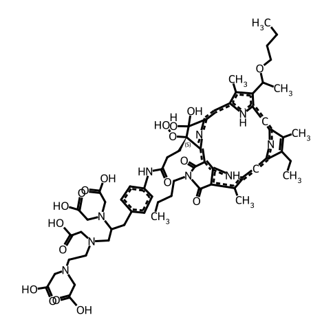 CCCCOC(C)c1c(C)c2cc3nc(c4c5[nH]c(cc6nc(cc1[nH]2)C(C)=C6CC)c(C)c5C(=O)N(CCCC)C4=O)[C@](CCC(=O)Nc1ccc(CC(CN(CCN(CC(=O)O)CC(=O)O)CC(=O)O)N(CC(=O)O)CC(=O)O)cc1)(OO)C3(O)O